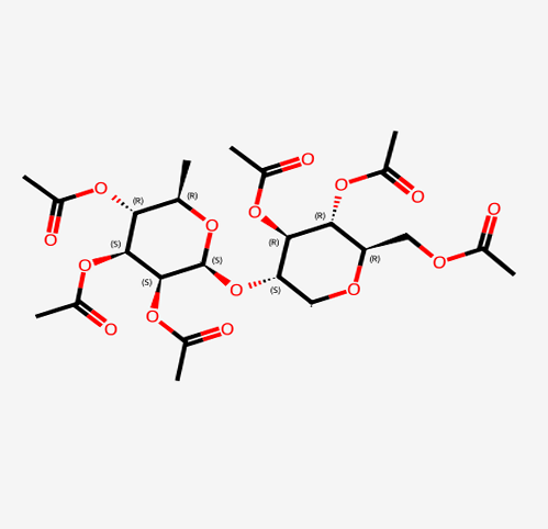 CC(=O)OC[C@H]1O[CH][C@H](O[C@@H]2O[C@H](C)[C@@H](OC(C)=O)[C@H](OC(C)=O)[C@@H]2OC(C)=O)[C@@H](OC(C)=O)[C@@H]1OC(C)=O